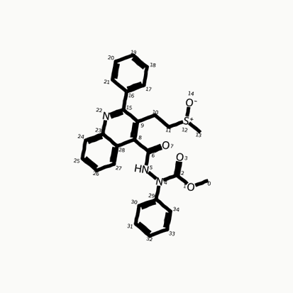 COC(=O)N(NC(=O)c1c(CC[S+](C)[O-])c(-c2ccccc2)nc2ccccc12)c1ccccc1